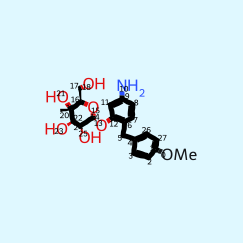 COc1ccc(Cc2ccc(N)cc2O[C@H]2O[C@H](CO)[C@@](C)(O)[C@H](O)[C@H]2O)cc1